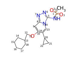 CS(=O)(=O)Nc1nnc2cc(OCC3CCCCC3)c(C3CC3)cn12